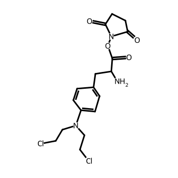 NC(Cc1ccc(N(CCCl)CCCl)cc1)C(=O)ON1C(=O)CCC1=O